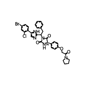 O=C(COc1ccc([C@H]2NC(=O)N(C(Cc3ccccc3)c3ncc(-c4ccc(Br)cc4Cl)[nH]3)C2=O)cc1)N1CCCC1